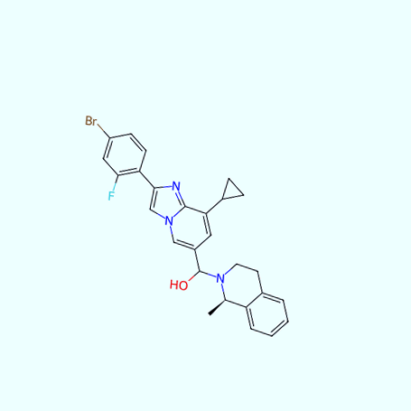 C[C@@H]1c2ccccc2CCN1C(O)c1cc(C2CC2)c2nc(-c3ccc(Br)cc3F)cn2c1